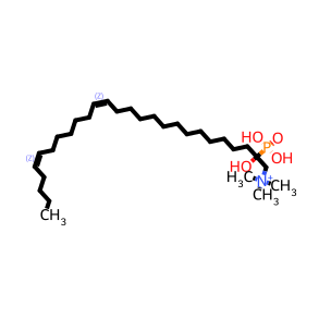 CCCC/C=C\CCCCC/C=C\CCCCCCCCCCCCC(O)(C[N+](C)(C)C)P(=O)(O)O